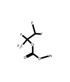 CC(C)OC(=O)OC(F)(C(F)F)C(F)(F)F